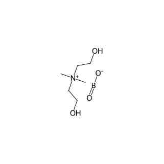 C[N+](C)(CCO)CCO.O=B[O-]